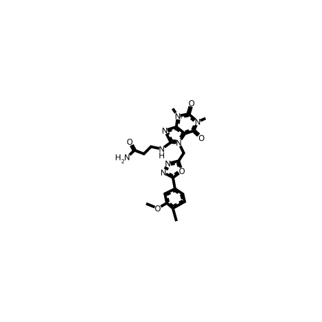 COc1cc(-c2nnc(Cn3c(NCCC(N)=O)nc4c3c(=O)n(C)c(=O)n4C)o2)ccc1C